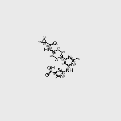 Cc1nc(Nc2ncc(C(=O)O)s2)cc(N2CCN(NC(=O)C3CC3)CC2)n1